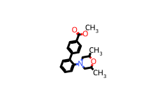 COC(=O)c1ccc(-c2ccccc2N2CC(C)OC(C)C2)cc1